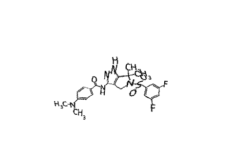 CN(C)c1ccc(C(=O)Nc2n[nH]c3c2CN(S(=O)(=O)c2cc(F)cc(F)c2)C3(C)C)cc1